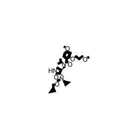 COCCCOc1cc(OC)ccc1C(=O)N(C[C@@H]1CNC[C@H]1CN(C(=O)OCC1CC1)C1CC1)C(C)C